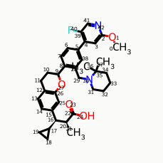 COc1cc(-c2ccc(C3CCc4ccc([C@H](C5CC5)[C@H](C)C(=O)O)cc4O3)c(CN3CCCCC3(C)C)c2)c(F)cn1